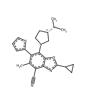 Cc1c(-c2cccs2)c(N2CC[C@H](N(C)C)C2)c2oc(C3CC3)nc2c1C#N